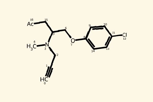 C#CCN(C)C(COc1ccc(Cl)cc1)CC(C)=O